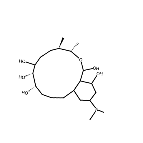 C[C@@H]1CCC(O)[C@@H](O)[C@@H](O)CCCC2CC(N(C)C)CC(O)C2C(O)O[C@H]1C